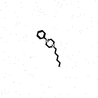 [CH2]CCCCCN1CCN(c2ccccc2)CC1